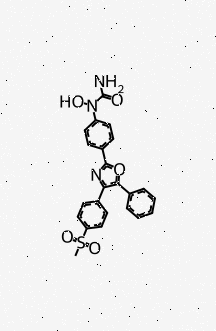 CS(=O)(=O)c1ccc(-c2nc(-c3ccc(N(O)C(N)=O)cc3)oc2-c2ccccc2)cc1